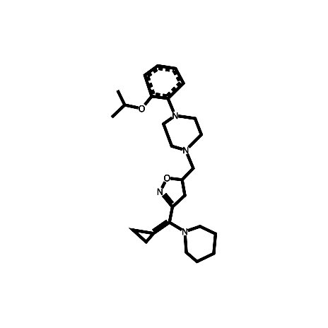 CC(C)Oc1ccccc1N1CCN(CC2CC(C(=C3CC3)N3CCCCC3)=NO2)CC1